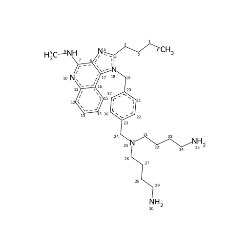 CCCCc1nc2c(NC)nc3ccccc3c2n1Cc1ccc(CN(CCCCN)CCCCN)cc1